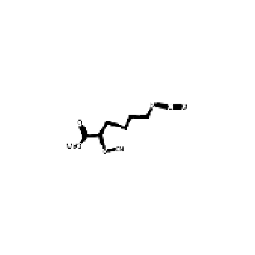 COC(=O)C(CCCCN=C=O)OC#N